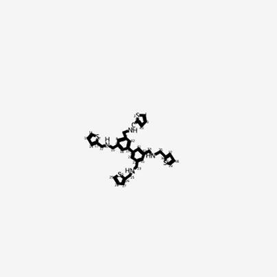 c1csc(CNCc2cc(CNCc3cccs3)cc(-c3cc(CNCc4cccs4)cc(CNCc4cccs4)c3)c2)c1